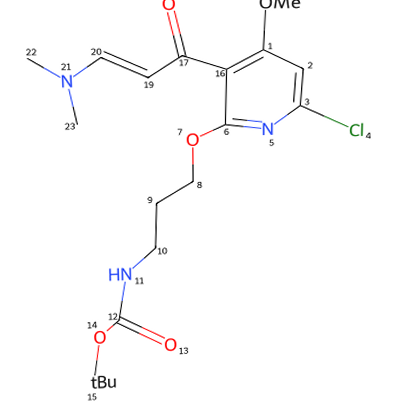 COc1cc(Cl)nc(OCCCNC(=O)OC(C)(C)C)c1C(=O)/C=C/N(C)C